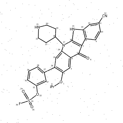 CC(C)Oc1cc2c(=O)c3c4ccc(C#N)cc4[nH]c3n(C3CCNCC3)c2cc1-c1cccc(OS(=O)(=O)F)c1